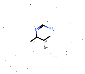 CC(C)[C@@H](C)C(C)/N=C\N